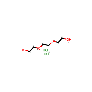 Cl.Cl.OCCOCCOCCO